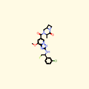 COc1cc(C(=O)N2CC3CCN3C(=O)C2C)cn2nc(NC(CF)c3cccc(Cl)c3)nc12